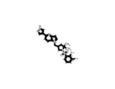 CC1(C)CC(Cn2ccc3nc(-c4cn[nH]c4)ccc32)CN1S(=O)(=O)c1cccc(F)c1F